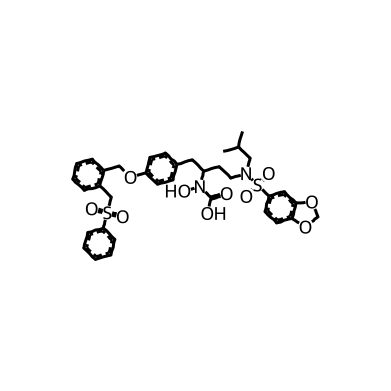 CC(C)CN(CCC(Cc1ccc(OCc2ccccc2CS(=O)(=O)c2ccccc2)cc1)N(O)C(=O)O)S(=O)(=O)c1ccc2c(c1)OCO2